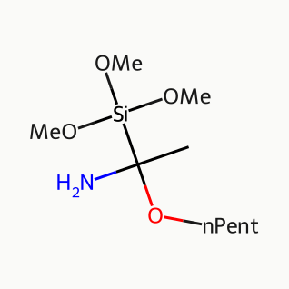 CCCCCOC(C)(N)[Si](OC)(OC)OC